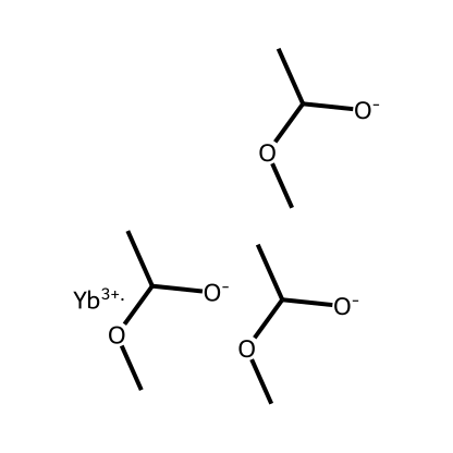 COC(C)[O-].COC(C)[O-].COC(C)[O-].[Yb+3]